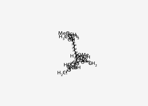 C=CCOC(=O)N[C@H]1C(O)COC(OC(/C=C/C=C/C=C/C=C/C=C/C=C/C=C/[C@H](C)C(O)[C@@H](C)[C@H](C)OC)C[C@@H]2OC(C)(OC)C[C@H](O)C2C(=O)OCC=C)[C@H]1O